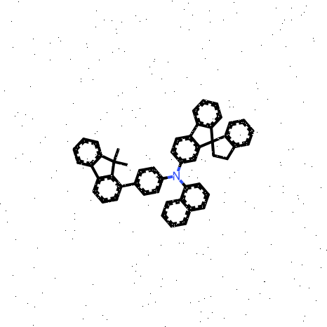 CC1(C)c2ccccc2-c2cccc(-c3ccc(N(c4ccc5c(c4)C4(CCc6ccccc64)c4ccccc4-5)c4cccc5ccccc45)cc3)c21